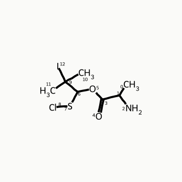 CC(N)C(=O)OC(SCl)C(C)(C)I